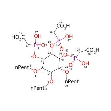 CCCCCOC1C(OCCCCC)C(OP(=O)(O)CC(=O)O)C(OP(=O)(O)CC(=O)O)C(OP(=O)(O)CC(=O)O)C1OCCCCC